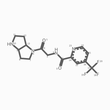 O=C(NCC(=O)N1CCC2NCCC21)c1cc(C(F)(F)F)ccn1